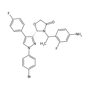 CC(c1ccc(N)cc1F)N1C(=O)CO[C@H]1c1nn(-c2ccc(Br)cc2)cc1-c1ccc(F)cc1